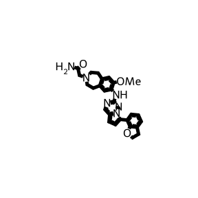 COc1cc2c(cc1Nc1ncc3ccc(-c4cccc5c4OCC5)n3n1)CCN(CC(N)=O)CC2